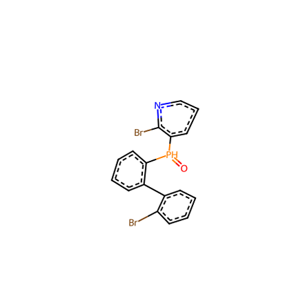 O=[PH](c1ccccc1-c1ccccc1Br)c1cccnc1Br